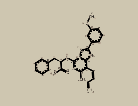 C=C/C=C\c1c(C)nc(N[C@H](Cc2ccccc2)C(N)=O)n2nc(-c3cccc(OC)c3)nc12